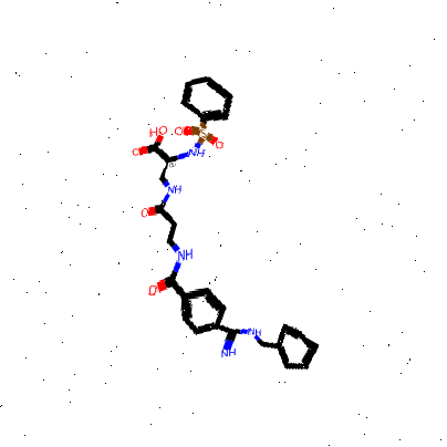 N=C(NCc1ccccc1)c1ccc(C(=O)NCCC(=O)NC[C@H](NS(=O)(=O)c2ccccc2)C(=O)O)cc1